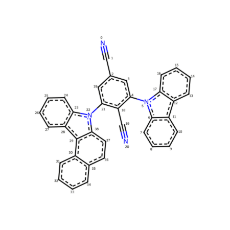 N#Cc1cc(-n2c3ccccc3c3ccccc32)c(C#N)c(-n2c3ccccc3c3c4ccccc4ccc32)c1